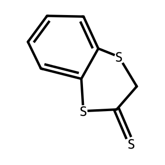 S=C1CSc2ccccc2S1